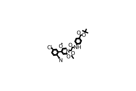 CCOC(C(=O)Nc1ccc(C(=O)OC(C)(C)C)cc1)n1cc(OC)c(-c2cc(Cl)ccc2C#N)cc1=O